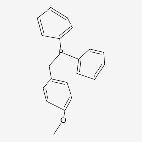 COc1ccc(CP(c2ccccc2)c2ccccc2)cc1